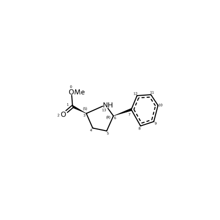 COC(=O)[C@@H]1CC[C@H](c2ccccc2)N1